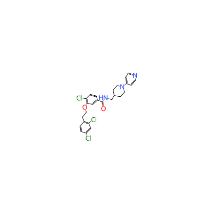 O=C(NCC1CCN(c2ccncc2)CC1)c1ccc(Cl)c(OCCc2ccc(Cl)cc2Cl)c1